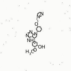 COc1ccc(-c2cn(-c3cccc(OCCn4ccnc4)c3)c3ncnc(N)c23)cc1O